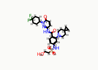 O=C(Nc1ccc(=O)n(C2CCC(F)(F)CC2)n1)c1ccc(NS(=O)(=O)CCO)cc1N1CCC2(CC1)CC2